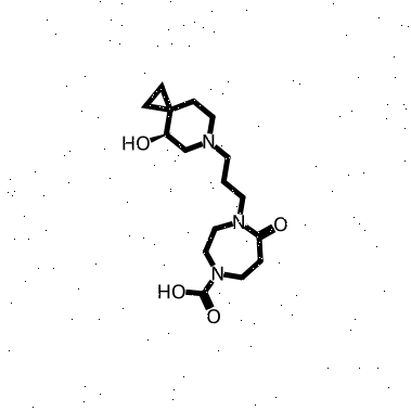 O=C(O)N1CCC(=O)N(CCCN2CCC3(CC3)[C@H](O)C2)CC1